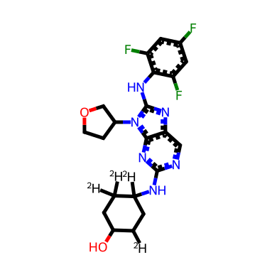 [2H]C1CC([2H])(Nc2ncc3nc(Nc4c(F)cc(F)cc4F)n(C4CCOC4)c3n2)C([2H])([2H])CC1O